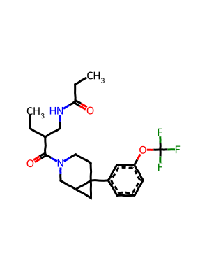 CCC(=O)NCC(CC)C(=O)N1CCC2(c3cccc(OC(F)(F)F)c3)CC2C1